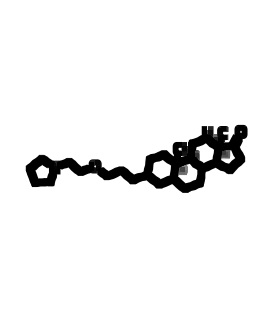 C[C@]12CCC(CCCOCCN3CCCC3)CC1CCC1C2CC[C@]2(C)C(=O)CCC12